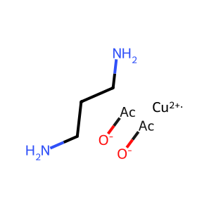 CC(=O)[O-].CC(=O)[O-].NCCCN.[Cu+2]